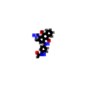 CC(=O)Nc1ccc(Nc2cc(C)c(N)c3c2C(=O)c2ccccc2C3=O)cc1